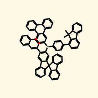 CC1(C)c2ccccc2-c2cccc(-c3ccc(N(c4ccc5c6ccccc6c6ccccc6c5c4)c4cc5c(cc4-c4ccc6ccccc6c4)-c4ccccc4C54c5ccccc5-c5ccccc54)cc3)c21